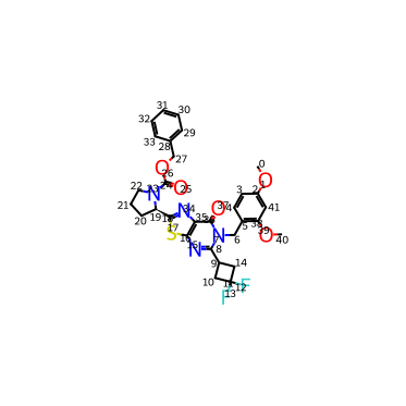 COc1ccc(Cn2c(C3CC(F)(F)C3)nc3sc([C@H]4CCCN4C(=O)OCc4ccccc4)nc3c2=O)c(OC)c1